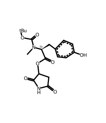 CN(C(=O)OC(C)(C)C)[C@@H](Cc1ccc(O)cc1)C(=O)OC1CC(=O)NC1=O